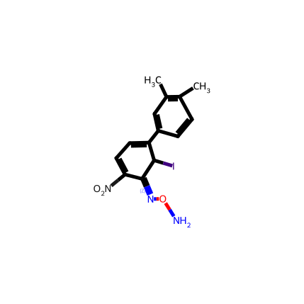 Cc1ccc(C2=CC=C([N+](=O)[O-])/C(=N/ON)C2I)cc1C